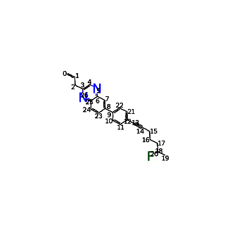 C=CCc1cnc2cc(-c3ccc(C#CCCCC(C)F)cc3)ccc2n1